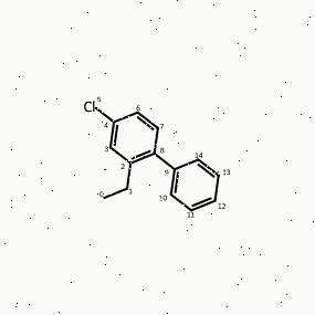 CCc1cc(Cl)ccc1-c1ccccc1